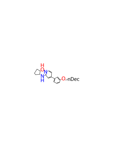 CCCCCCCCCCCOc1cccc(-c2ccnc(N[C@@H]3CCC[C@@H]3O)c2)c1